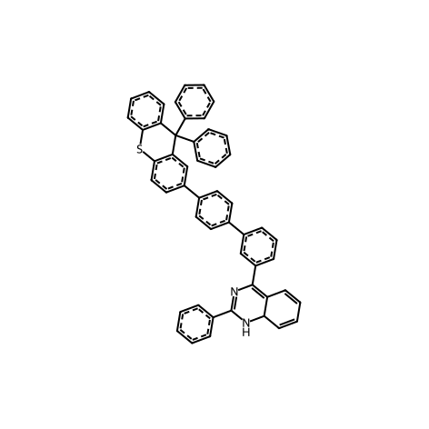 C1=CC2=C(c3cccc(-c4ccc(-c5ccc6c(c5)C(c5ccccc5)(c5ccccc5)c5ccccc5S6)cc4)c3)N=C(c3ccccc3)NC2C=C1